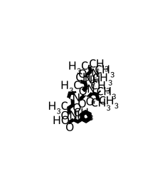 CC[C@H](C)C([C@@H](CC(=O)N1CCC[C@H]1[C@H](OC)[C@@H](C)C(=O)NC(Cc1ccccc1)C(=O)O)OC)N(C)C(=O)[C@@H](NC(=O)C(C(C)C)N(C)C)C(C)C